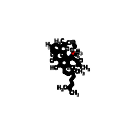 CC(C)=CCC[C@@]1(C)C=Cc2c(O)c3c(c(C(O)C4OC4(C)C)c2O1)O[C@]12C(=C[C@@H]4CC1C(C)(C)OC2(C/C=C(/C)OC=O)C4=O)C3=O